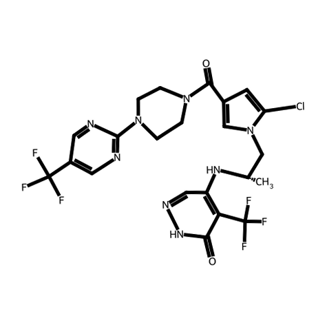 C[C@@H](Cn1cc(C(=O)N2CCN(c3ncc(C(F)(F)F)cn3)CC2)cc1Cl)Nc1cn[nH]c(=O)c1C(F)(F)F